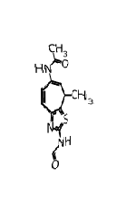 CC(=O)NC1=CC(C)c2sc(NC=O)nc2C=C1